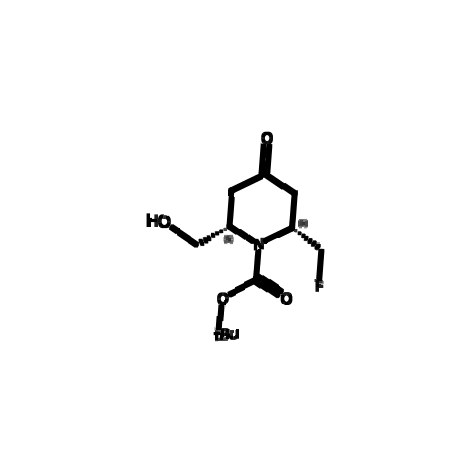 CC(C)(C)OC(=O)N1[C@H](CO)CC(=O)C[C@@H]1CF